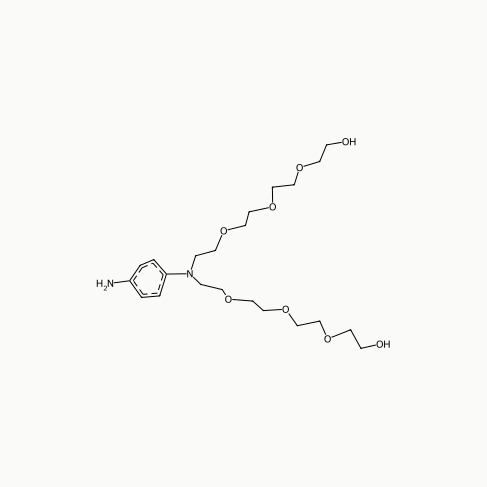 Nc1ccc(N(CCOCCOCCOCCO)CCOCCOCCOCCO)cc1